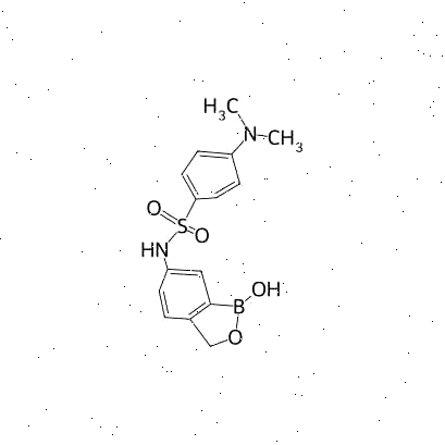 CN(C)c1ccc(S(=O)(=O)Nc2ccc3c(c2)B(O)OC3)cc1